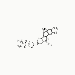 COc1cc(N)c(Cl)cc1C(=O)NC1CCN(CC2CCN(S(=O)(=O)C(C)C)CC2)CC1OC